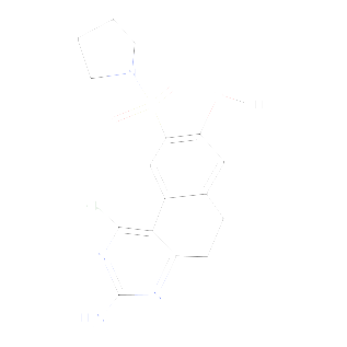 COc1cc2c(cc1S(=O)(=O)N1CCCC1)-c1c(Cl)nc(N)nc1CC2